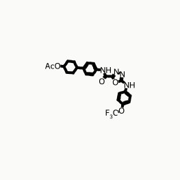 CC(=O)OC1CCC(c2ccc(NC(=O)c3nnc(Nc4ccc(OC(F)(F)F)cc4)o3)cc2)CC1